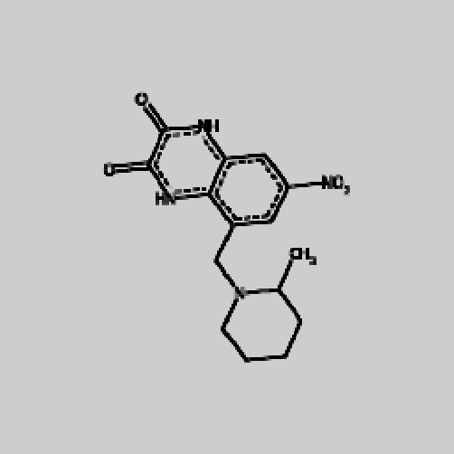 CC1CCCCN1Cc1cc([N+](=O)[O-])cc2[nH]c(=O)c(=O)[nH]c12